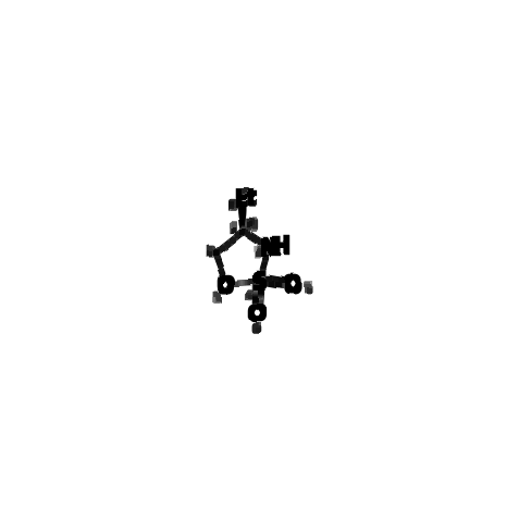 CC[C@@H]1COS(=O)(=O)N1